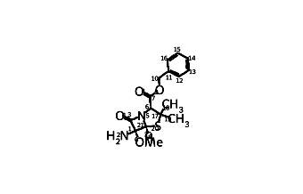 CO[C@@]1(N)C(=O)N2[C@@H](C(=O)OCc3ccccc3)C(C)(C)S[C@@H]21